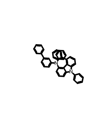 c1ccc(-c2cccc(N(c3ccccc3)c3cccc4c3c3c(-c5ccccc5)cccc3n4-c3ccccc3)c2)cc1